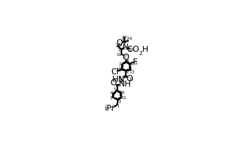 CC(C)Cc1ccc(C(=O)NNC(=O)c2cc(F)c(OCC3COC(C)(C)N3C(=O)O)cc2Cl)cc1